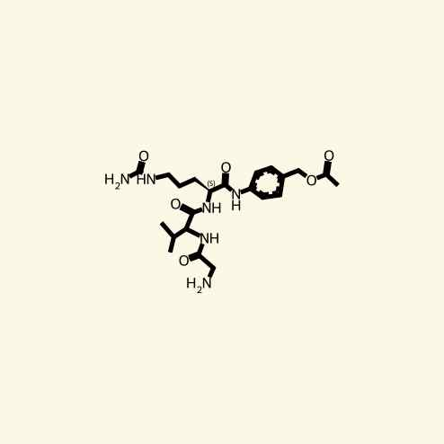 CC(=O)OCc1ccc(NC(=O)[C@H](CCCNC(N)=O)NC(=O)C(NC(=O)CN)C(C)C)cc1